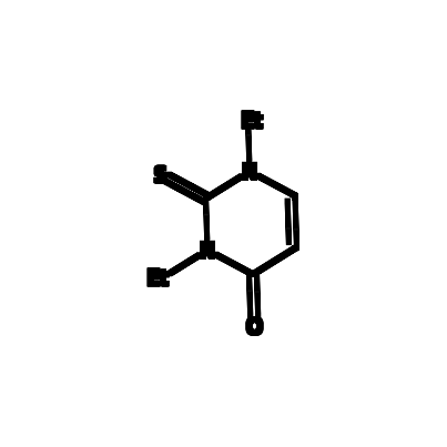 CCn1ccc(=O)n(CC)c1=S